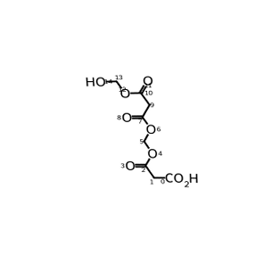 O=C(O)CC(=O)OCOC(=O)CC(=O)OCO